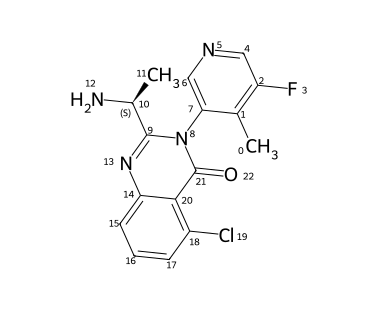 Cc1c(F)cncc1-n1c([C@H](C)N)nc2cccc(Cl)c2c1=O